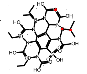 CCON(C(=O)O)c1c(C(N(OCC)C(=O)O)N(OCC)C(=O)O)c(N(OCC)C(=O)O)c(S(=O)(=O)O)c(N(OCC)C(=O)O)c1N(OCC)C(=O)O